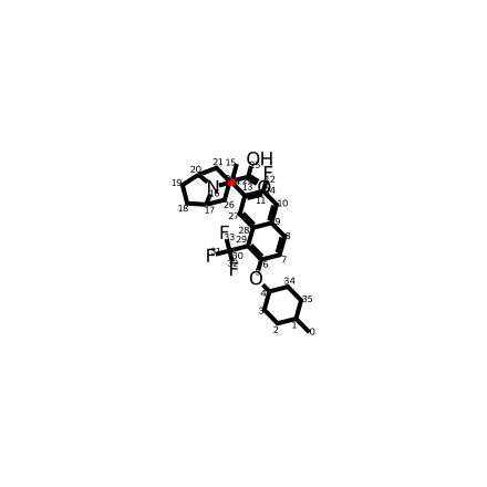 CC1CCC(Oc2ccc3cc(F)c(C(C)N4C5CCC4CC(C(=O)O)C5)cc3c2C(F)(F)F)CC1